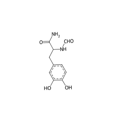 NC(=O)C(Cc1ccc(O)c(O)c1)NC=O